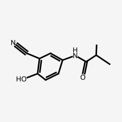 CC(C)C(=O)Nc1ccc(O)c(C#N)c1